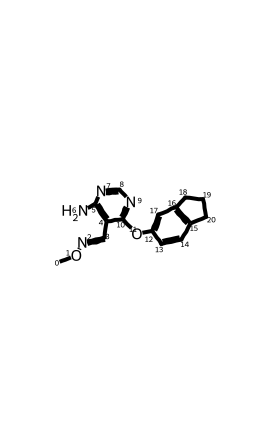 CON=Cc1c(N)ncnc1Oc1ccc2c(c1)CCC2